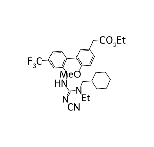 CCOC(=O)Cc1ccc(OC)c(-c2ccc(C(F)(F)F)cc2CNC(=NC#N)N(CC)CC2CCCCC2)c1